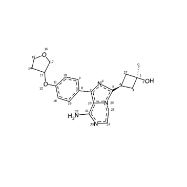 C[C@]1(O)C[C@@H](c2nc(-c3ccc(OC4CCOC4)cc3)c3c(N)nccn32)C1